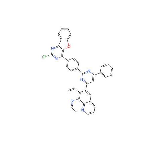 C=Cc1c(-c2cc(-c3ccccc3)nc(-c3ccc(-c4nc(Cl)nc5c4oc4ccccc45)cc3)n2)cc2cccnc2c1/N=C\C